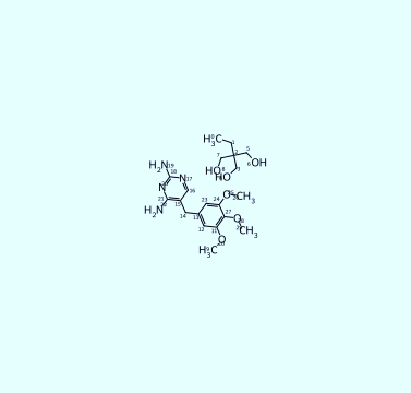 CCC(CO)(CO)CO.COc1cc(Cc2cnc(N)nc2N)cc(OC)c1OC